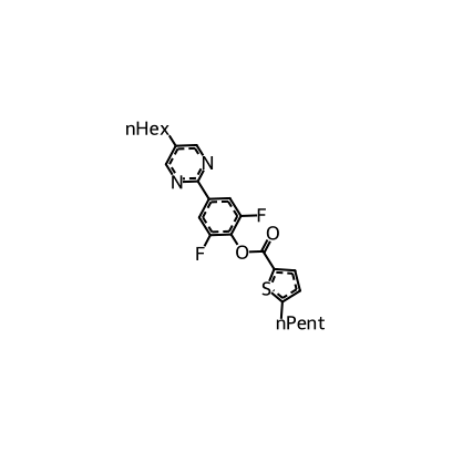 CCCCCCc1cnc(-c2cc(F)c(OC(=O)c3ccc(CCCCC)s3)c(F)c2)nc1